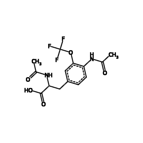 CC(=O)Nc1ccc(CC(NC(C)=O)C(=O)O)cc1OC(F)(F)F